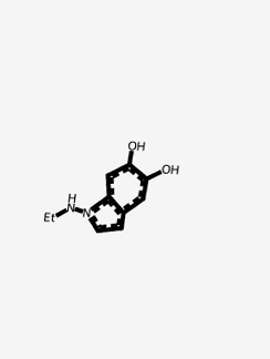 CCNn1ccc2cc(O)c(O)cc21